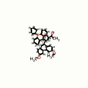 COc1ccc(/C=C(\c2ccc(OC)cc2)c2cc(C(C)=O)ccc2-c2ccccc2P(c2ccccc2)c2ccccc2)cc1